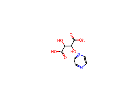 O=C(O)C(O)C(O)C(=O)O.c1cnccn1